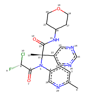 Cc1ccc(N(C(=O)[C@H](F)Cl)[C@](C)(C(=O)NC2CCOCC2)c2cncnc2)cn1